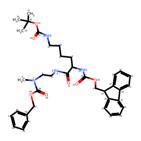 CN(CCNC(=O)C(CCCCNC(=O)OC(C)(C)C)NC(=O)OCC1c2ccccc2-c2ccccc21)C(=O)OCc1ccccc1